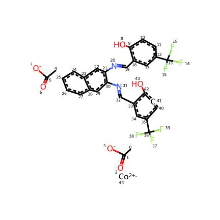 CC(=O)[O-].CC(=O)[O-].Oc1ccc(C(F)(F)F)cc1C=Nc1cc2ccccc2cc1N=Cc1cc(C(F)(F)F)ccc1O.[Co+2]